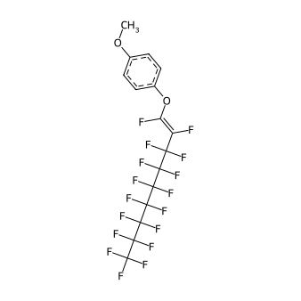 COc1ccc(OC(F)=C(F)C(F)(F)C(F)(F)C(F)(F)C(F)(F)C(F)(F)C(F)(F)C(F)(F)F)cc1